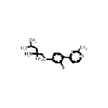 Cc1nccc(-c2ccc(OCC(C)(N)CC(C)C)cc2F)n1